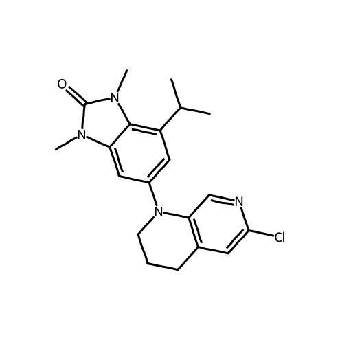 CC(C)c1cc(N2CCCc3cc(Cl)ncc32)cc2c1n(C)c(=O)n2C